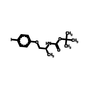 C[C@@H](COc1ccc(I)cc1)NC(=O)OC(C)(C)C